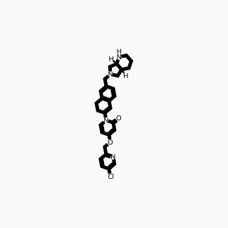 O=c1cc(OCc2ccc(Cl)cn2)ccn1C1=Cc2ccc(CN3C[C@H]4CCCN[C@H]4C3)cc2CC1